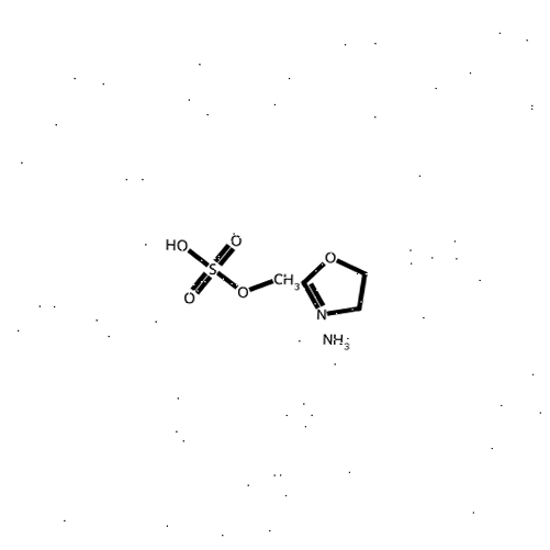 C1=NCCO1.COS(=O)(=O)O.N